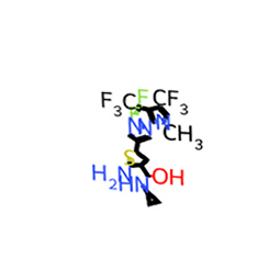 Cn1cc(C(F)(F)F)c(C(F)(F)C(F)(F)F)c1-n1cc(C2CC([C@@H](O)NC3CC3)C(N)S2)cn1